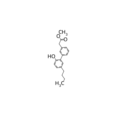 CCCCc1ccc(O)c(-c2cccc(CC(=O)OC)c2)c1